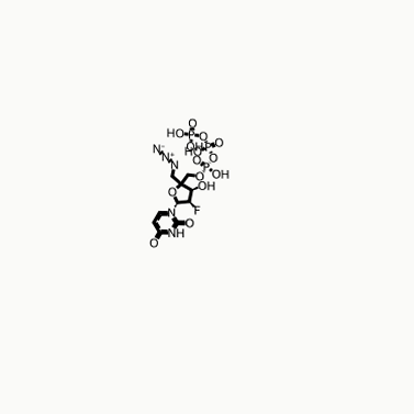 [N-]=[N+]=NCC1(COP(=O)(O)OP(=O)(O)OP(=O)(O)O)O[C@@H](n2ccc(=O)[nH]c2=O)[C@H](F)[C@@H]1O